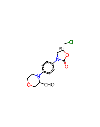 O=CC1COCCN1c1ccc(N2C[C@H](CCl)OC2=O)cc1